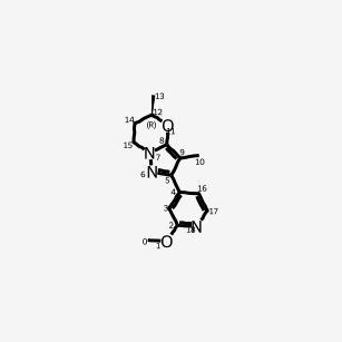 COc1cc(-c2nn3c(c2C)O[C@H](C)CC3)ccn1